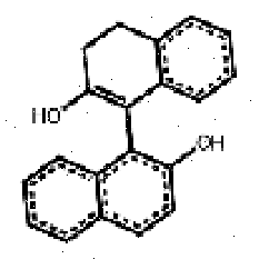 OC1=C(c2c(O)ccc3ccccc23)c2ccccc2CC1